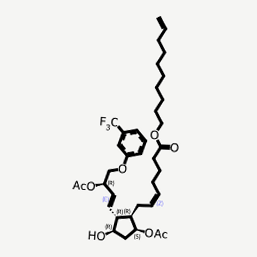 C=CCCCCCCCCOC(=O)CCC/C=C\C[C@@H]1[C@@H](/C=C/[C@H](COc2cccc(C(F)(F)F)c2)OC(C)=O)[C@H](O)C[C@@H]1OC(C)=O